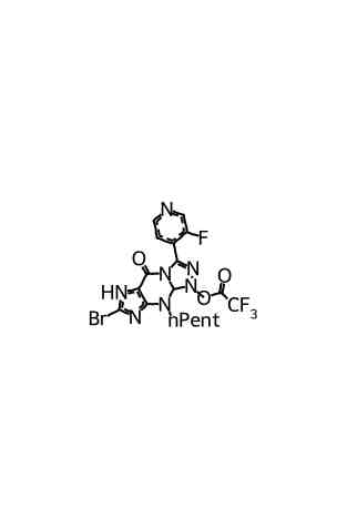 CCCCCN1c2nc(Br)[nH]c2C(=O)N2C(c3ccncc3F)=NN(OC(=O)C(F)(F)F)C21